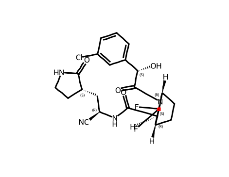 N#C[C@@H](C[C@@H]1CCNC1=O)NC(=O)[C@@H]1[C@H]2CC[C@H](CC2(F)F)N1C(=O)[C@@H](O)c1cccc(Cl)c1